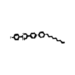 CCCCCCCCC[C@H]1CC[C@H](c2ccc(-c3cnc(-c4ccc(F)cc4)nc3)cc2)CC1